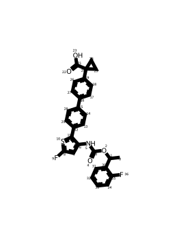 CC(OC(=O)Nc1cc(F)sc1-c1ccc(-c2ccc(C3(C(=O)O)CC3)cc2)cc1)c1ccccc1F